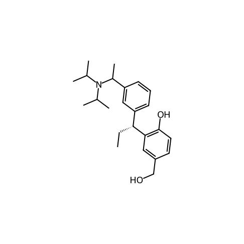 CC[C@H](c1cccc(C(C)N(C(C)C)C(C)C)c1)c1cc(CO)ccc1O